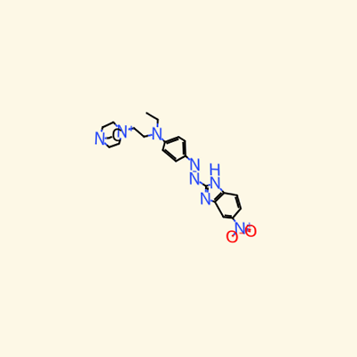 CCN(CC[N+]12CCN(CC1)CC2)c1ccc(N=Nc2nc3cc([N+](=O)[O-])ccc3[nH]2)cc1